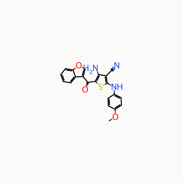 COc1ccc(Nc2sc(C(=O)c3coc4ccccc34)c(N)c2C#N)cc1